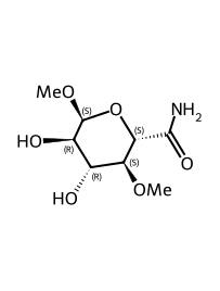 CO[C@H]1O[C@H](C(N)=O)[C@@H](OC)[C@H](O)[C@H]1O